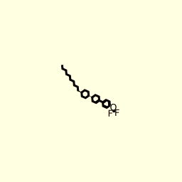 CCCCCCCCCC[C@H]1CC[C@H](C2CC=C(c3ccc(OC(F)F)cc3)CC2)CC1